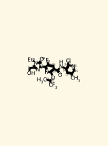 CCn1c(CO)nn(-c2nc(OC(C)C(F)(F)F)c(C(=O)Nc3cc(C)cnc3Cl)cc2F)c1=O